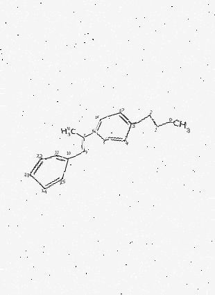 CCCc1ccc(C(C)=Cc2ccccc2)cc1